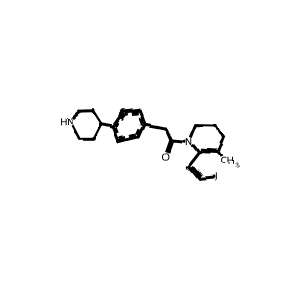 CC1=C(/C=C\I)N(C(=O)Cc2ccc(C3CCNCC3)cc2)CCC1